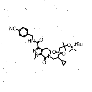 Cn1nc(C(=O)NCc2ccc(C#N)cc2)c2c1C(=O)N(CC(C1CC1)S(=O)(=O)CC(C)(C)O[Si](C)(C)C(C)(C)C)CC2